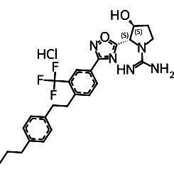 CCCc1ccc(CCc2ccc(-c3noc([C@@H]4[C@@H](O)CCN4C(=N)N)n3)cc2C(F)(F)F)cc1.Cl